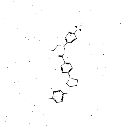 CCS(=O)(=O)c1ccc([C@H](CCO)NC(=O)c2ccc(N3CC[C@H](Oc4ccc(C(F)(F)F)cc4)C3)cc2)cc1